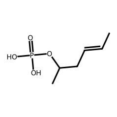 CC=CCC(C)OP(=O)(O)O